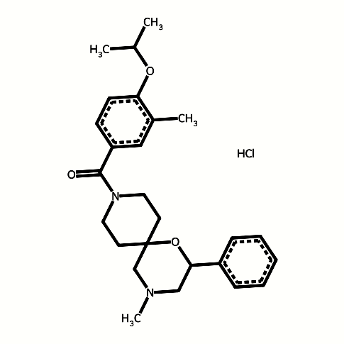 Cc1cc(C(=O)N2CCC3(CC2)CN(C)CC(c2ccccc2)O3)ccc1OC(C)C.Cl